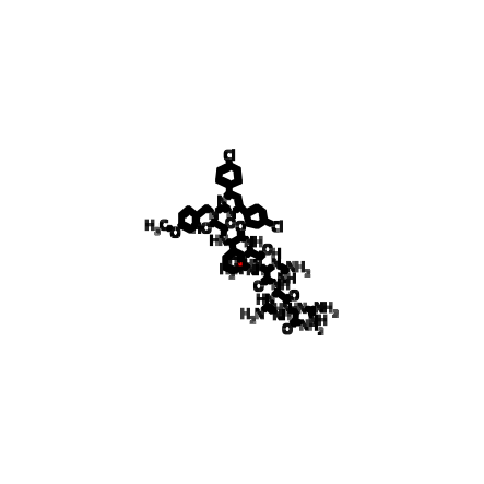 COc1ccc(CN(c2nc(-c3ccc(Cl)cc3)cc(-c3ccc(Cl)cc3)n2)C(O)C(=O)NC(C(=O)NC(NC(=N)N)C(=O)NC(NC(=N)N)C(=O)NC(NC(=N)N)C(=O)NC(NC(=N)N)C(N)=O)c2ccccc2)cc1